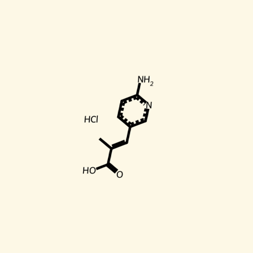 C/C(=C\c1ccc(N)nc1)C(=O)O.Cl